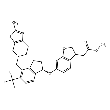 COC(=O)CC1COc2cc(O[C@@H]3CCc4c3ccc(C(F)(F)F)c4CN3CCc4nc(C)sc4C3)ccc21